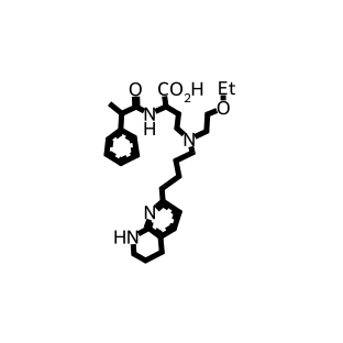 CCOCCN(CCCCc1ccc2c(n1)NCCC2)CCC(NC(=O)C(C)c1ccccc1)C(=O)O